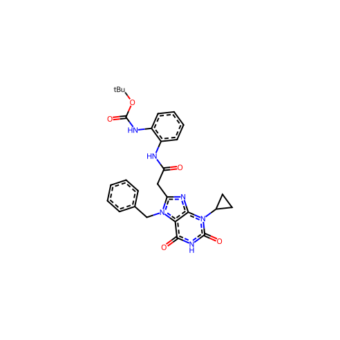 CC(C)(C)OC(=O)Nc1ccccc1NC(=O)Cc1nc2c(c(=O)[nH]c(=O)n2C2CC2)n1Cc1ccccc1